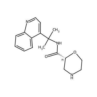 CC(C)(NC(=O)[C@H]1CNCCO1)c1ccnc2ccccc12